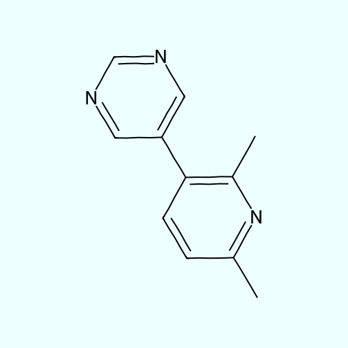 Cc1ccc(-c2cncnc2)c(C)n1